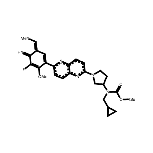 CN/C=C1/C=C(c2ccc3nc(N4CCC(N(CC5CC5)C(=O)OC(C)(C)C)C4)ccc3n2)C(OC)=C(F)C1=N